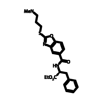 CCOC(=O)[C@H](Cc1ccccc1)NC(=O)c1ccc2oc(SCCCNC)nc2c1